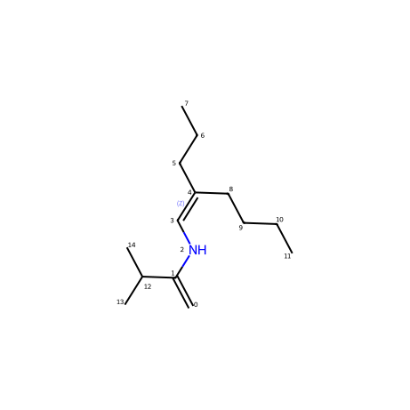 C=C(N/C=C(/CCC)CCCC)C(C)C